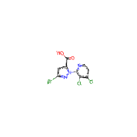 O=C(O)c1cc(Br)nn1-c1nccc(Cl)c1Cl